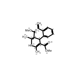 C=Cc1ccccc1C1C(C(=O)OC)=C(C)NC(C)=C1C(=O)OC